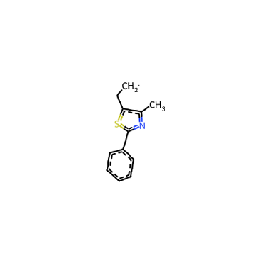 [CH2]Cc1sc(-c2ccccc2)nc1C